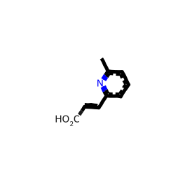 Cc1cccc(C=CC(=O)O)n1